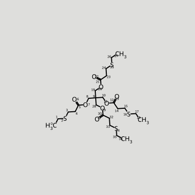 CCSCCC(=O)OCC(COC(=O)CCSCC)(COC(=O)CCSCC)COC(=O)CCSCC